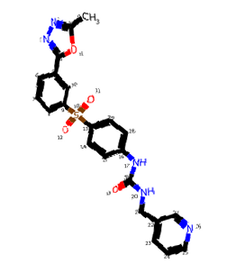 Cc1nnc(-c2cccc(S(=O)(=O)c3ccc(NC(=O)NCc4cccnc4)cc3)c2)o1